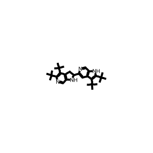 CC(C)(C)c1ncc2c(c1C(C)(C)C)CC(c1cc3c(C(C)(C)C)c(C(C)(C)C)[nH]c3cn1)N2